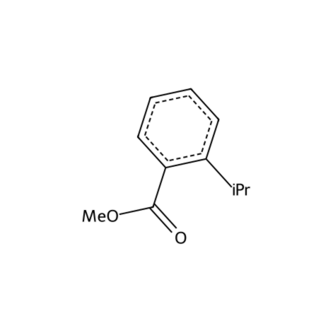 COC(=O)c1ccccc1C(C)C